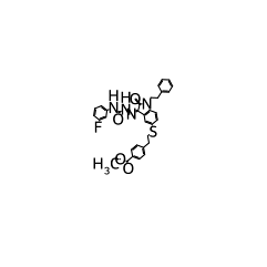 COC(=O)c1ccc(CCSc2ccc3c(c2)/C(=N/NC(=O)Nc2cccc(F)c2)C(=O)N3CCc2ccccc2)cc1